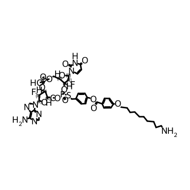 NCCCCCCCCCCOc1ccc(C(=O)Oc2ccc(CSP3(=O)OC[C@H]4O[C@@H](n5cnc6c(N)ncnc65)[C@H](F)[C@@H]4OP(=O)(O)OC[C@H]4O[C@@H](n5ccc(=O)[nH]c5=O)[C@H](F)[C@@H]4O3)cc2)cc1